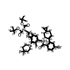 CC(C)(C)OC(=O)N(C(=O)OC(C)(C)C)c1nc2c(N3CCC(F)(F)CC3)c(F)c(NC(=O)c3ccc(Br)cc3C3=CCC4(CC3)CC4)cc2s1